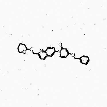 O=c1cc(OCc2ccccc2)ccn1-c1ccc2nc(COC3CCCCO3)ccc2c1